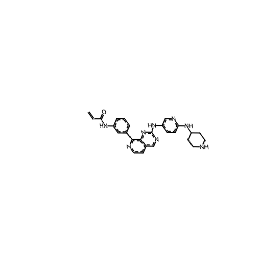 C=CC(=O)Nc1cccc(-c2nccc3cnc(Nc4ccc(NC5CCNCC5)nc4)nc23)c1